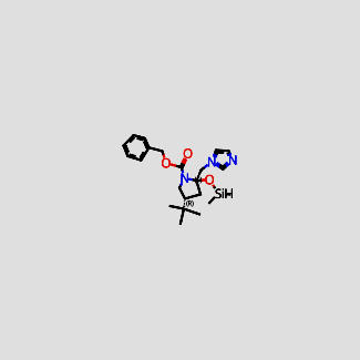 C[SiH](C)O[C@]1(Cn2ccnc2)C[C@H](C(C)(C)C)CN1C(=O)OCc1ccccc1